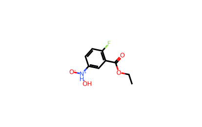 CCOC(=O)c1cc([NH+]([O-])O)ccc1F